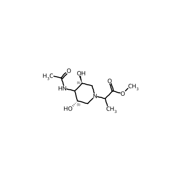 COC(=O)C(C)N1C[C@H](O)C(NC(C)=O)[C@@H](O)C1